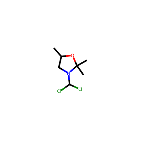 CC1CN(C(Cl)Cl)C(C)(C)O1